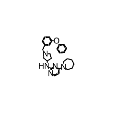 c1ccc(Oc2cccc(CN3CCC(Nc4nccc(N5CCCCCC5)n4)C3)c2)cc1